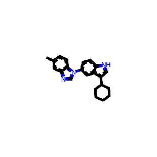 Cc1ccc2c(c1)ncn2-c1ccc2[nH]cc(C3CCCCC3)c2c1